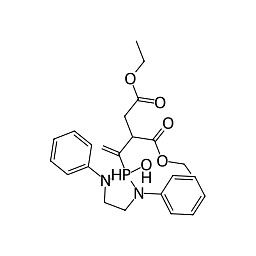 C=C(C(CC(=O)OCC)C(=O)OCC)[PH]1(O)N(c2ccccc2)CCN1c1ccccc1